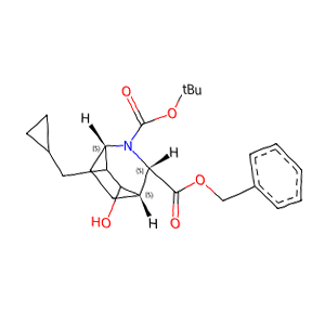 CC(C)(C)OC(=O)N1[C@H](C(=O)OCc2ccccc2)[C@@H]2CC[C@H]1C(CC1CC1)C2O